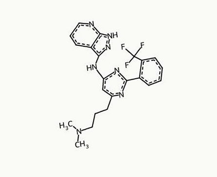 CN(C)CCCc1cc(Nc2n[nH]c3ncccc23)nc(-c2ccccc2C(F)(F)F)n1